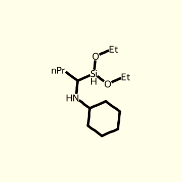 CCCC(NC1CCCCC1)[SiH](OCC)OCC